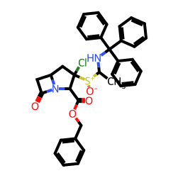 CC(NC(c1ccccc1)(c1ccccc1)c1ccccc1)[S+]([O-])C1(Cl)CC2CC(=O)N2C1C(=O)OCc1ccccc1